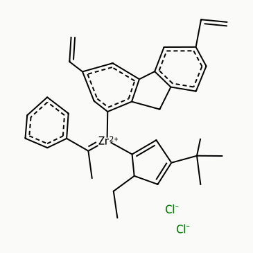 C=Cc1ccc2c(c1)-c1cc(C=C)c[c](/[Zr+2]([C]3=CC(C(C)(C)C)=CC3CC)=[C](/C)c3ccccc3)c1C2.[Cl-].[Cl-]